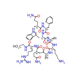 CC(C)[C@H](NC(=O)[C@H](CCCCN)NC(=O)[C@@H](NC(=O)[C@H](Cc1c[nH]c2ccccc12)NC(=O)[C@H](Cc1ccccc1)NC(=O)[C@@H](C)CCC(N)=O)C(C)C)C(=O)C[C@@H](CCC(N)=O)C(=O)N[C@@H](CCCNC(=N)N)C(=O)NCC(=O)O